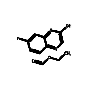 CCOC=O.Oc1cnc2ccc(F)cc2n1